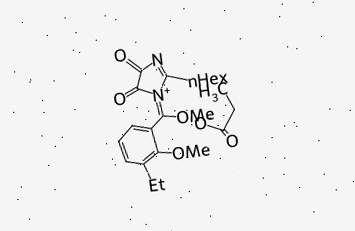 CCC(=O)[O-].CCCCCCC1=NC(=O)C(=O)[N+]1=C(OC)c1cccc(CC)c1OC